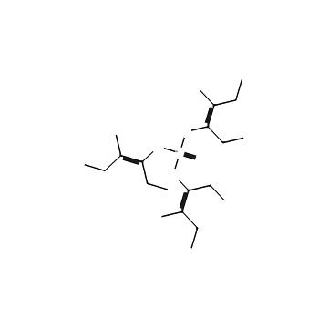 CC/C(C)=C(\CC)OP(=O)(O/C(CC)=C(\C)CC)O/C(CC)=C(\C)CC